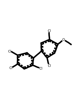 COc1cc(Cl)c(-c2cc(Cl)c(Cl)cc2Cl)cc1Cl